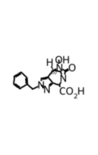 O=C(O)C1c2nn(Cc3ccccc3)cc2[C@H]2CN1C(=O)N2O